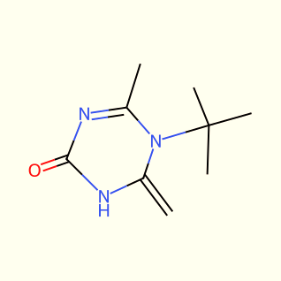 C=C1NC(=O)N=C(C)N1C(C)(C)C